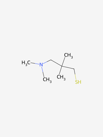 CN(C)CC(C)(C)CS